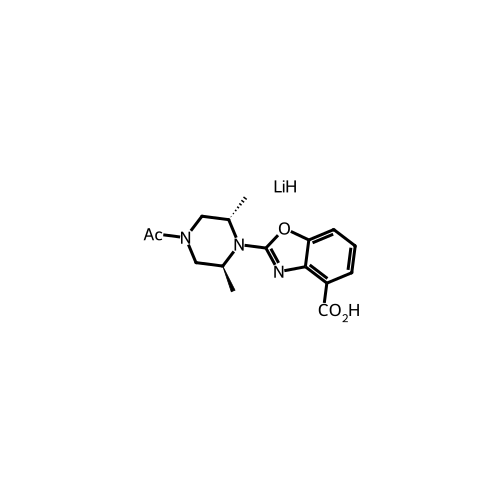 CC(=O)N1C[C@H](C)N(c2nc3c(C(=O)O)cccc3o2)[C@@H](C)C1.[LiH]